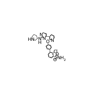 NS(=O)(=O)c1cccc(-c2ccc(Oc3ncccc3-c3ccnc(N[C@H]4CCCNC4)n3)cc2)c1Cl